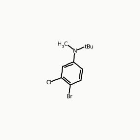 CN(c1ccc(Br)c(Cl)c1)C(C)(C)C